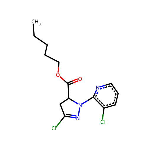 CCCCCOC(=O)C1CC(Cl)=NN1c1ncccc1Cl